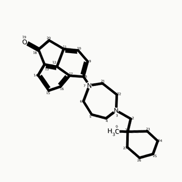 CC1(CN2CCCN(c3ccc4c5c(cccc35)C(=O)C4)CC2)CCCCC1